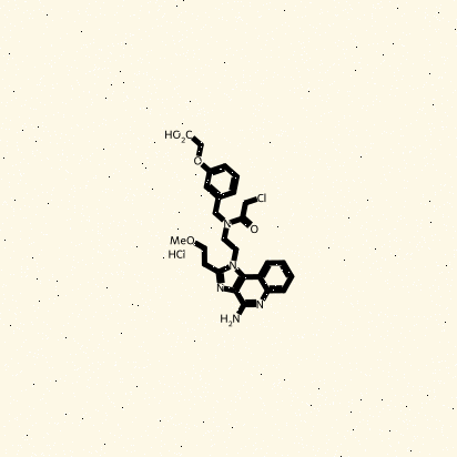 COCCc1nc2c(N)nc3ccccc3c2n1CCN(Cc1cccc(OCC(=O)O)c1)C(=O)CCl.Cl